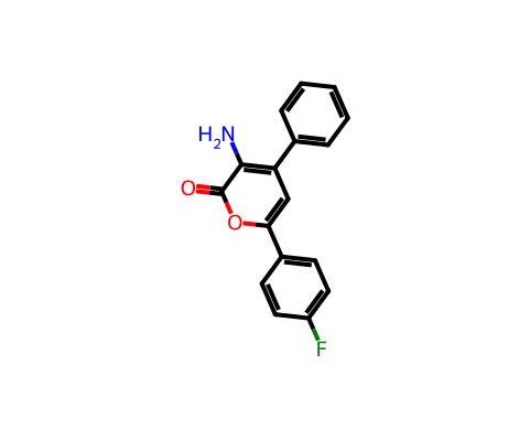 Nc1c(-c2ccccc2)cc(-c2ccc(F)cc2)oc1=O